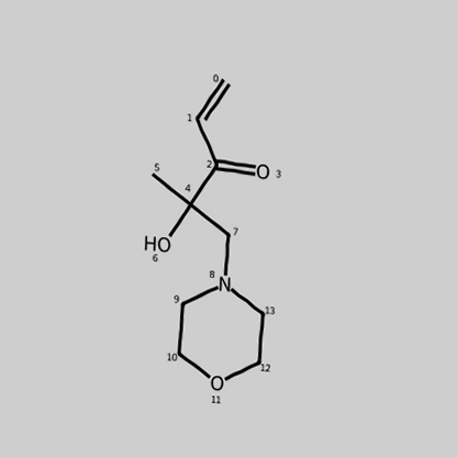 C=CC(=O)C(C)(O)CN1CCOCC1